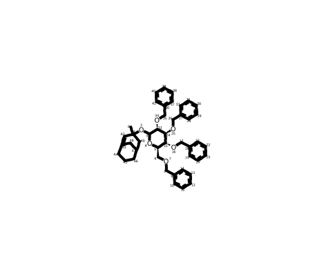 CC1(OC2O[C@H](COCc3ccccc3)[C@@H](OCc3ccccc3)[C@H](OCc3ccccc3)[C@H]2OCc2ccccc2)C=C2CCCC(C2)C1